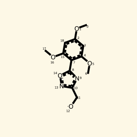 COc1cc(OC)c(-c2nc(C[O])no2)c(OC)c1